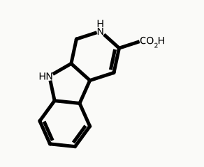 O=C(O)C1=CC2C(CN1)NC1C=CC=CC12